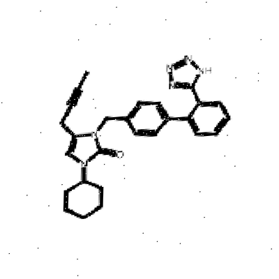 CC#CCc1cn(C2CCCCC2)c(=O)n1Cc1ccc(-c2ccccc2-c2nnn[nH]2)cc1